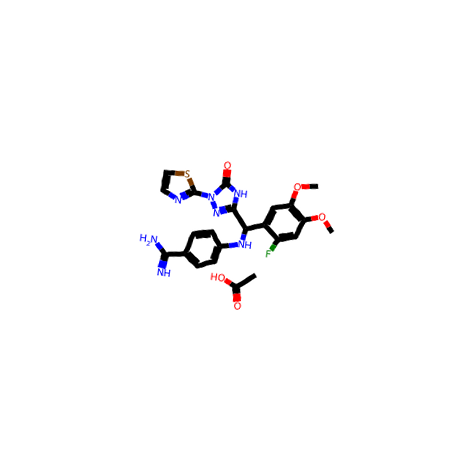 CC(=O)O.COc1cc(F)c(C(Nc2ccc(C(=N)N)cc2)c2nn(-c3nccs3)c(=O)[nH]2)cc1OC